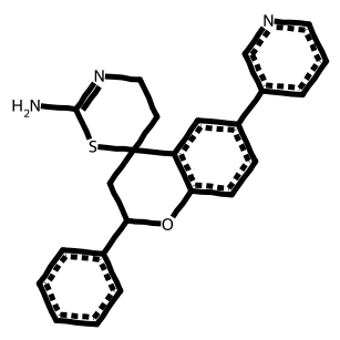 NC1=NCCC2(CC(c3ccccc3)Oc3ccc(-c4cccnc4)cc32)S1